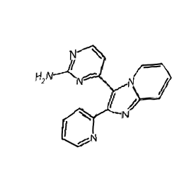 Nc1nccc(-c2c(-c3ccccn3)nc3ccccn23)n1